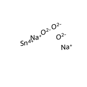 [Na+].[Na+].[O-2].[O-2].[O-2].[Sn+4]